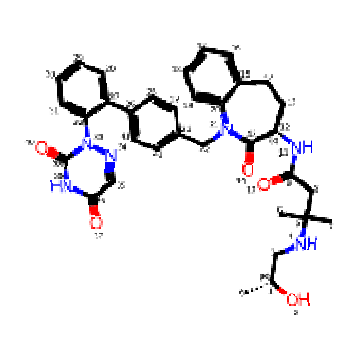 C[C@@H](O)CNC(C)(C)CC(=O)N[C@@H]1CCc2ccccc2N(Cc2ccc(-c3ccccc3-n3ncc(=O)[nH]c3=O)cc2)C1=O